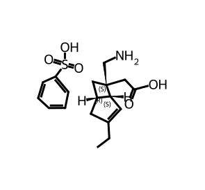 CCC1=C[C@@H]2[C@H](C1)C[C@]2(CN)CC(=O)O.O=S(=O)(O)c1ccccc1